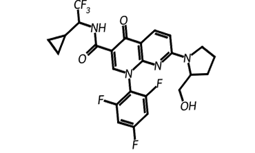 O=C(NC(C1CC1)C(F)(F)F)c1cn(-c2c(F)cc(F)cc2F)c2nc(N3CCCC3CO)ccc2c1=O